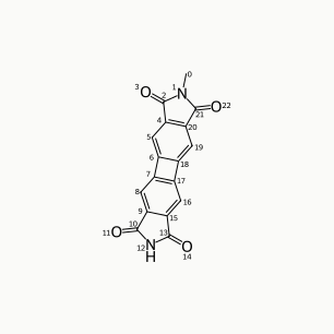 Cn1c(=O)c2cc3c4cc5c(=O)[nH]c(=O)c5cc4c3cc2c1=O